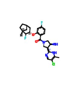 CC1=C(Cl)C=N/C(=C2\CN(C(=O)c3ccc(F)cc3O[C@H]3CC4CC[C@H](C4)C3F)CC2=N)N1